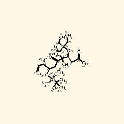 C=C[C@H](C)[C@H](O[Si](C)(C)C(C)(C)C)[C@@H](C)C(=O)C(C)(C)[C@H](CC(=O)O)O[Si](CC)(CC)CC